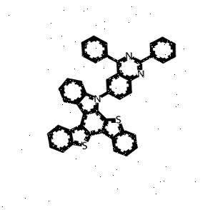 c1ccc(-c2nc(-c3ccccc3)c3cc(-n4c5ccccc5c5c6c7ccccc7sc6c6c7ccccc7sc6c54)ccc3n2)cc1